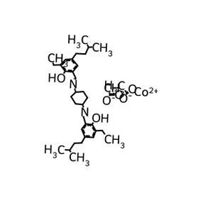 CC(=O)[O-].CC(=O)[O-].CCc1cc(CCC(C)C)cc(C=NC2CCC(N=Cc3cc(CCC(C)C)cc(CC)c3O)CC2)c1O.[Co+2]